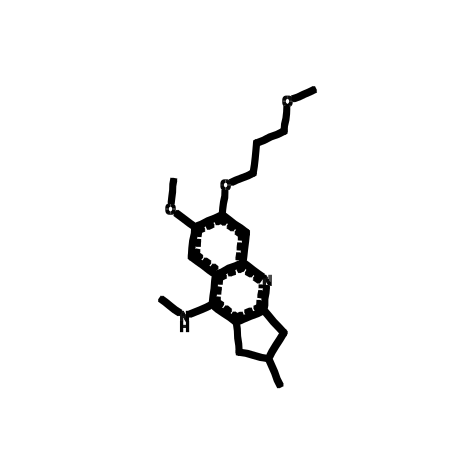 CNc1c2c(nc3cc(OCCCOC)c(OC)cc13)CC(C)C2